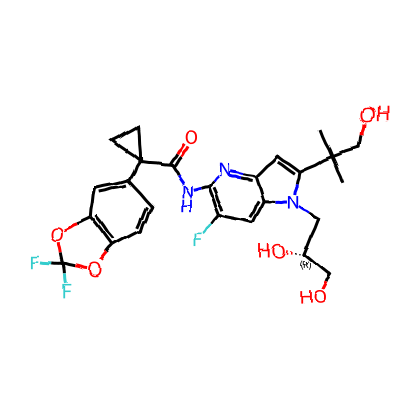 CC(C)(CO)c1cc2nc(NC(=O)C3(c4ccc5c(c4)OC(F)(F)O5)CC3)c(F)cc2n1C[C@@H](O)CO